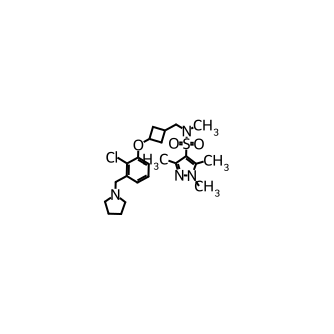 Cc1nn(C)c(C)c1S(=O)(=O)N(C)CC1CC(Oc2cccc(CN3CCCC3)c2Cl)C1